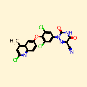 Cc1cc(Cl)nc2ccc(Oc3c(Cl)cc(-n4nc(C#N)c(=O)[nH]c4=O)cc3Cl)cc12